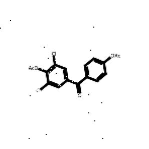 CC(=O)Oc1ccc(C(=O)c2cc(Cl)c(OC(C)=O)c(Cl)c2)cc1